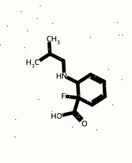 CC(C)CNC1C=CC=CC1(F)C(=O)O